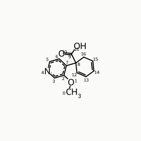 COc1cnccc1C1(C(=O)O)C=CC=CC1